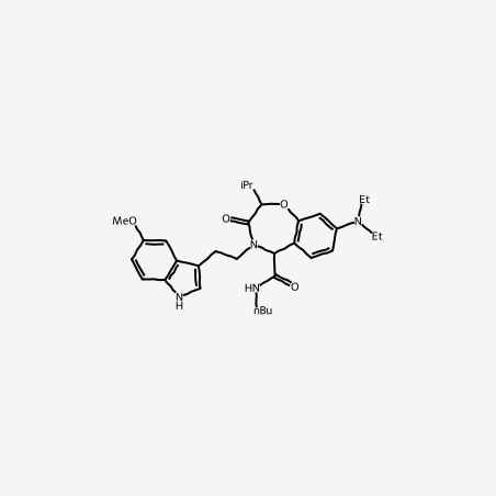 CCCCNC(=O)C1c2ccc(N(CC)CC)cc2OC(C(C)C)C(=O)N1CCc1c[nH]c2ccc(OC)cc12